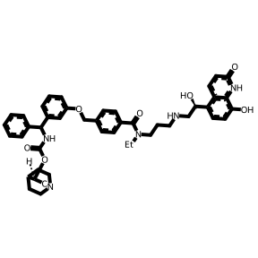 CCN(CCCNC[C@@H](O)c1ccc(O)c2[nH]c(=O)ccc12)C(=O)c1ccc(COc2cccc(C(NC(=O)O[C@H]3CN4CCC3CC4)c3ccccc3)c2)cc1